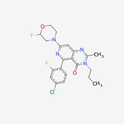 CCCn1c(C)nc2cc(N3CCOC(F)C3)nc(-c3ccc(Cl)cc3F)c2c1=O